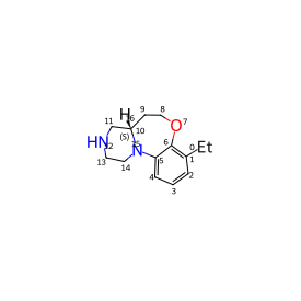 CCc1cccc2c1OCC[C@H]1CNCCN21